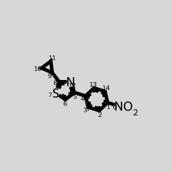 O=[N+]([O-])c1c[c]c(-c2csc(C3CC3)n2)cc1